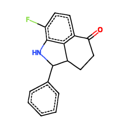 O=C1CCC2c3c1ccc(F)c3NC2c1ccccc1